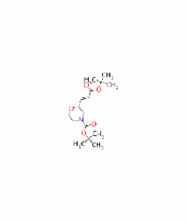 CC(C)(C)OC(=O)C=CC1CN(C(=O)OC(C)(C)C)CCO1